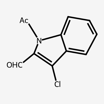 CC(=O)n1c(C=O)c(Cl)c2ccccc21